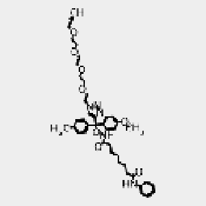 C#CCOCCOCCOCCOCCn1cc(C(ONC(=O)CCCCCCC(=O)Nc2ccccc2)(c2ccc(C)cc2)c2ccc(OC)cc2)nn1